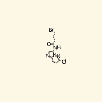 O=C(CCCBr)Nc1cnc2ccc(Cl)nn12